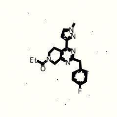 CCC(=O)N1CCc2c(nc(Cc3ccc(F)cc3)nc2-c2ccn(C)n2)C1